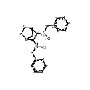 Cl[SiH](Cc1ccccc1)C1C2CCC(C2)C1[SiH](Cl)Cc1ccccc1